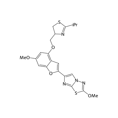 COc1cc(OCC2CSC(C(C)C)=N2)c2cc(-c3cn4nc(OC)sc4n3)oc2c1